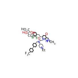 CCN1CCC(N(Cc2ccc(-c3ccc(C(F)(F)F)cc3)cc2)C(=O)Cn2c(CCc3cccc(F)c3F)cc(=O)c3cn(C)nc32)CC1.O=C(O)C(O)C(O)C(=O)O